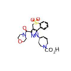 O=C(O)N1CCCC(n2nc(C(=O)N3CCOCC3)c3c2-c2ccccc2S(=O)(=O)C3)CC1